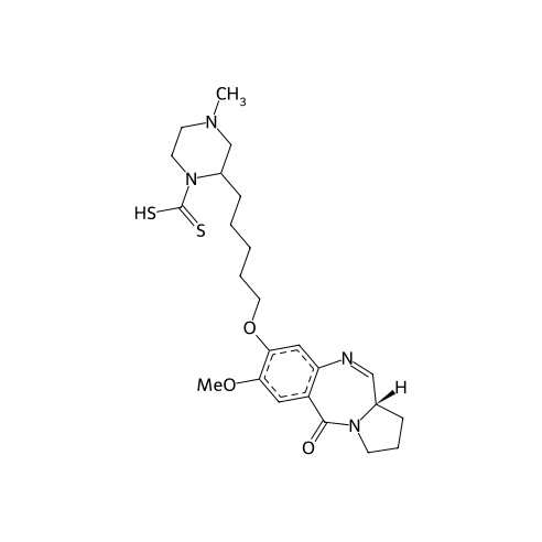 COc1cc2c(cc1OCCCCCC1CN(C)CCN1C(=S)S)N=C[C@@H]1CCCN1C2=O